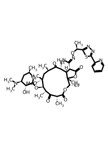 CC[C@@H]1OC(=O)[C@H](C)C(=O)[C@H](C)[C@@H](OC2O[C@H](C)C[C@H](N(C)C)[C@H]2O)[C@](C)(OC)C[C@@H](C)C(=O)[C@H](CC)[C@H]2[C@H](/C(N)=N/O[C@@H](C)c3nnc(-c4ccccn4)s3)C(=O)O[C@@]21C